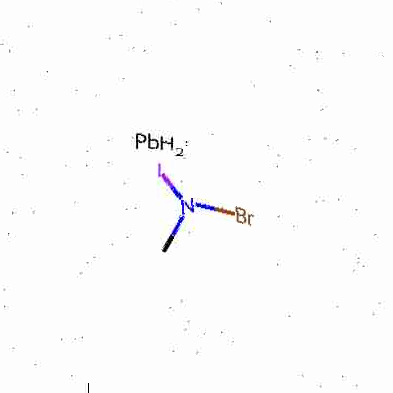 CN(Br)I.[PbH2]